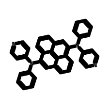 c1ccc(N(c2ccncc2)c2cc3cccc4c(N(c5ccccc5)c5ccncc5)cc5cccc2c5c34)cc1